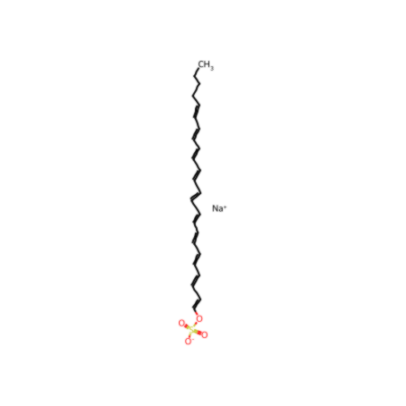 CCCC/C=C/C=C/C=C/C=C/C=C/C=C/C=C/C=C/C=C/C=C/OS(=O)(=O)[O-].[Na+]